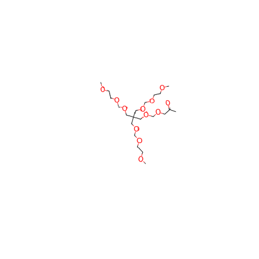 COCCOCOCC(COCOCCOC)(COCOCCOC)COCOCC(C)=O